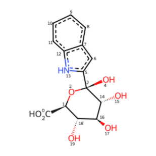 O=C(O)[C@H]1O[C@](O)(c2cc3ccccc3[nH]2)[C@H](O)[C@@H](O)[C@@H]1O